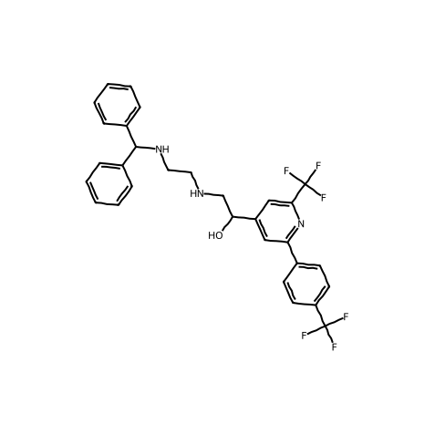 OC(CNCCNC(c1ccccc1)c1ccccc1)c1cc(-c2ccc(C(F)(F)F)cc2)nc(C(F)(F)F)c1